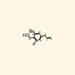 C=CCc1cc(F)c(CO)c(Br)c1